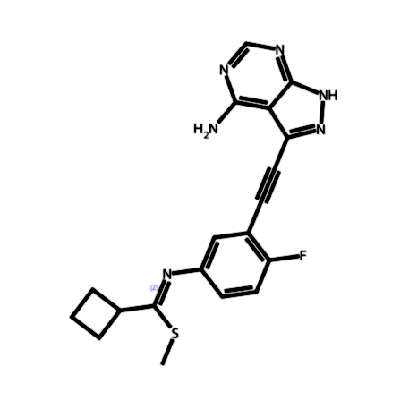 CS/C(=N\c1ccc(F)c(C#Cc2n[nH]c3ncnc(N)c23)c1)C1CCC1